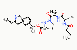 C=CCC(=O)NC(C(=O)NC(C)C(=O)N1CCC[C@@H](C(=O)O[C@H](C)c2ccc3cnc(C=C)cc3c2)N1)C(C)C